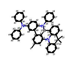 Cc1cc2c3c(c1)N1c4ccccc4C(C)(C)c4cccc(c41)B3N(c1ccccc1)c1ccc(N(c3ccccc3)c3ccccc3)cc1-2